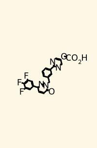 O=C(O)Oc1cnc(-c2cccc(Cn3nc(-c4cc(F)c(F)c(F)c4)ccc3=O)c2)nc1